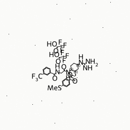 CSc1ccc(S(=O)(=O)C[C@@H]2C[C@H](NC(=N)N)CC[C@@H]2NC(=O)CNC(=O)c2cccc(C(F)(F)F)c2)cc1.O=C(O)C(F)(F)F.O=C(O)C(F)(F)F